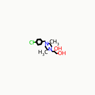 CC1CN(CC(O)CO)C(C)CN1Cc1ccc(Cl)cc1